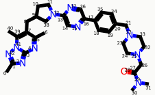 Cc1nc2nc(C)c(CC3CCN(c4cnc(-c5ccc(CN6CCN(CC(=O)N(C)C)CC6)cc5)cn4)C3)c(C)n2n1